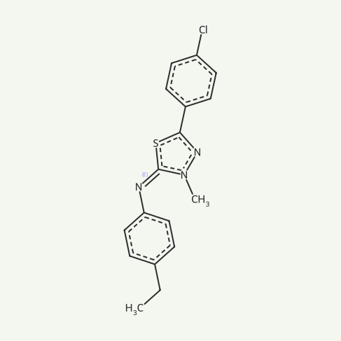 CCc1ccc(/N=c2/sc(-c3ccc(Cl)cc3)nn2C)cc1